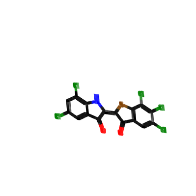 O=C1C(=C2Sc3c(cc(Cl)c(Cl)c3Cl)C2=O)Nc2c(Cl)cc(Cl)cc21